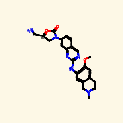 COc1cc2c(cc1Nc1ncc3ccc(N4C[C@@H](CN)OC4=O)cc3n1)CN(C)CC2